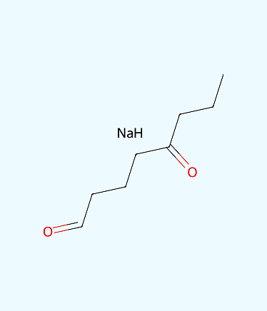 CCCC(=O)CCCC=O.[NaH]